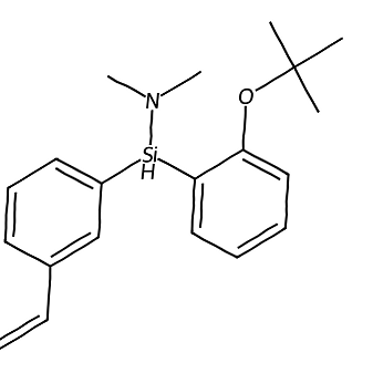 C=Cc1cccc([SiH](c2ccccc2OC(C)(C)C)N(C)C)c1